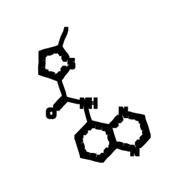 Cc1ccc(C(=O)Nc2cccc3nccnc23)s1